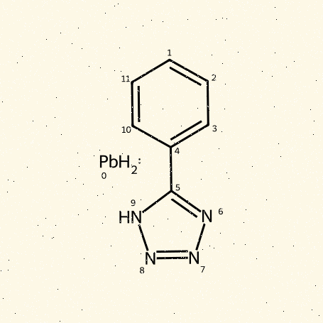 [PbH2].c1ccc(-c2nnn[nH]2)cc1